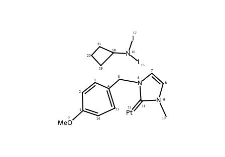 COc1ccc(Cn2ccn(C)[c]2=[Pt])cc1.IN(I)C1CCC1